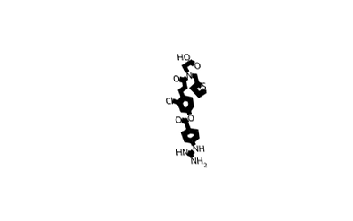 N=C(N)Nc1ccc(C(=O)Oc2ccc(CCC(=O)N(CC(=O)O)Cc3cccs3)c(Cl)c2)cc1